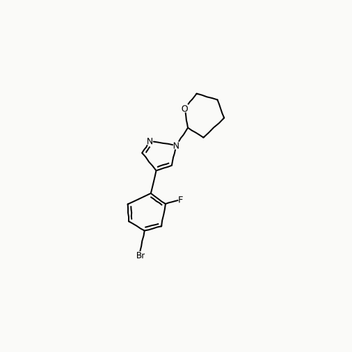 Fc1cc(Br)ccc1-c1cnn(C2CCCCO2)c1